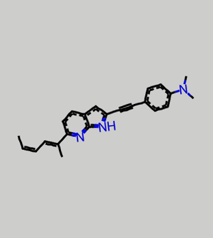 C/C=C\C=C(/C)c1ccc2cc(C#Cc3ccc(N(C)C)cc3)[nH]c2n1